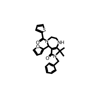 CC1(C)C2=C(C(=O)N1Cc1ccccc1)C(c1ccco1)N(C(=O)c1cccs1)CCN2